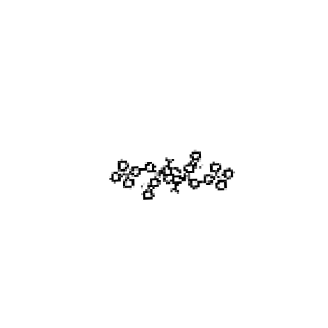 CC(C)c1cc(N(c2cccc(-c3ccc([Si](c4ccccc4)(c4ccccc4)c4ccccc4)cc3)c2)c2ccc3c(c2)oc2ccccc23)c2ccc3c(C(C)C)cc(N(c4cccc(-c5ccc([Si](c6ccccc6)(c6ccccc6)c6ccccc6)cc5)c4)c4ccc5c(c4)oc4ccccc45)c4ccc1c2c34